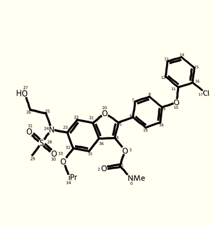 CNC(=O)Oc1c(-c2ccc(Oc3ccccc3Cl)cc2)oc2cc(N(CCO)S(C)(=O)=O)c(OC(C)C)cc12